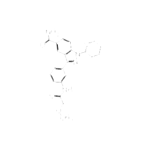 COCC(=O)Nc1cccc(-c2nn(C3CCCCO3)c3ccc(C(N)=O)cc23)c1